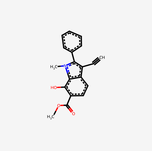 C#Cc1c(-c2ccccc2)n(C)c2c(O)c(C(=O)OC)ccc12